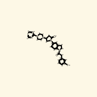 O=C1CC(N2CCN(c3ncccn3)CC2)CN1c1ccc2c(c1)CCN2C(=O)Cc1cccc(F)c1